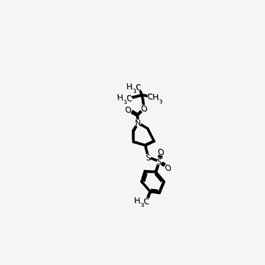 Cc1ccc(S(=O)(=O)SC2CCN(C(=O)OC(C)(C)C)CC2)cc1